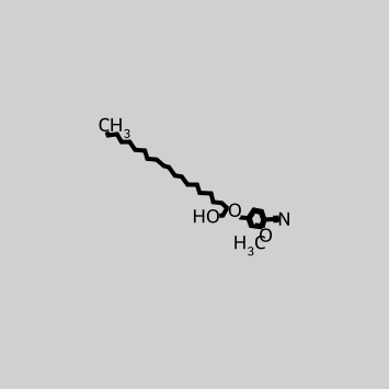 CCCCCCCCCCCCCCCCCCCC(CO)OCc1ccc(C#N)c(OC)c1